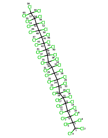 Cl[C](Cl)C(Cl)(Cl)C(Cl)(Cl)C(Cl)(Cl)C(Cl)(Cl)C(Cl)(Cl)C(Cl)(Cl)C(Cl)(Cl)C(Cl)(Cl)C(Cl)(Cl)C(Cl)(Cl)C(Cl)(Cl)C(Cl)(Cl)C(Cl)(Cl)C(Cl)(Cl)C(Cl)(Cl)C(Cl)(Cl)C(Cl)(Cl)C(Cl)(Cl)C(Cl)(Cl)Cl